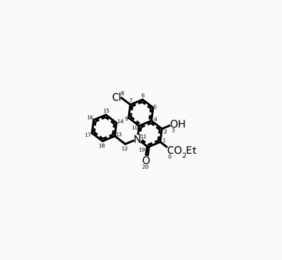 CCOC(=O)c1c(O)c2ccc(Cl)cc2n(Cc2ccccc2)c1=O